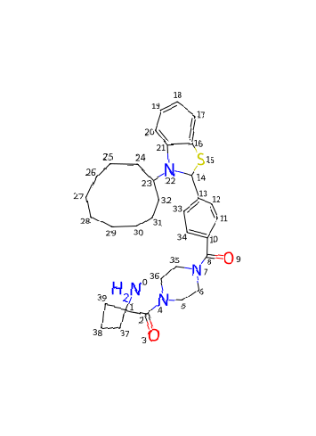 NC1(C(=O)N2CCN(C(=O)c3ccc(C4Sc5ccccc5N4C4CCCCCCCCC4)cc3)CC2)CCC1